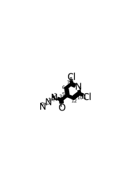 [N-]=[N+]=NC(=O)c1cc(Cl)nc(Cl)c1